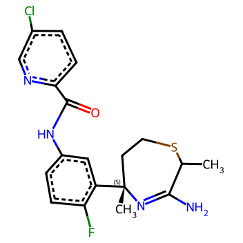 CC1SCC[C@@](C)(c2cc(NC(=O)c3ccc(Cl)cn3)ccc2F)N=C1N